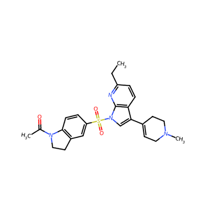 CCc1ccc2c(C3=CCN(C)CC3)cn(S(=O)(=O)c3ccc4c(c3)CCN4C(C)=O)c2n1